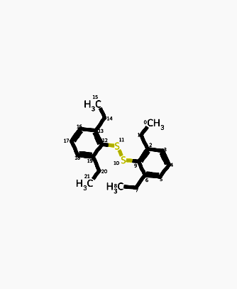 CCc1cccc(CC)c1SSc1c(CC)cccc1CC